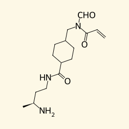 C=CC(=O)N(C=O)CC1CCC(C(=O)NCC[C@H](C)N)CC1